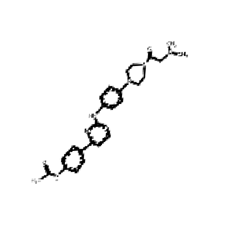 CC(=O)Nc1ccc(-c2ccnc(Nc3ccc(N4CCN(C(=O)CN(C)C)CC4)cc3)n2)cc1